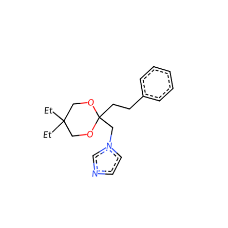 CCC1(CC)COC(CCc2ccccc2)(Cn2ccnc2)OC1